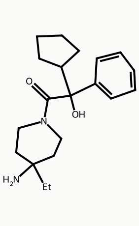 CCC1(N)CCN(C(=O)C(O)(c2ccccc2)C2CCCC2)CC1